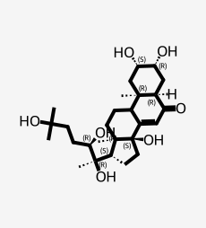 CC(C)(O)CC[C@@H](O)[C@](C)(O)[C@H]1CC[C@@]2(O)C3=CC(=O)[C@@H]4C[C@@H](O)[C@@H](O)C[C@]4(C)C3CC[C@]12C